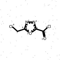 O=C(Cl)c1nnc(CCl)o1